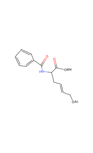 COC(=O)C(C/C=C/COC(C)=O)NC(=O)c1ccccc1